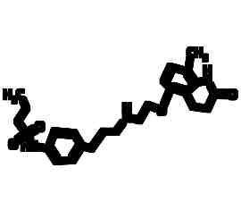 CCCS(=O)(=O)Nc1ccc(CCCNCCOc2ccc(C)c3c2CCC(=O)N3)cc1